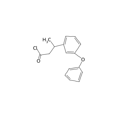 CC(CC(=O)Cl)c1cccc(Oc2ccccc2)c1